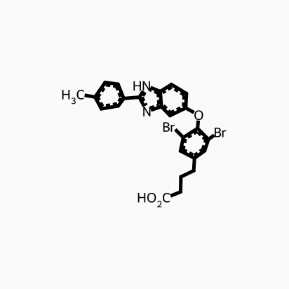 Cc1ccc(-c2nc3cc(Oc4c(Br)cc(CCCC(=O)O)cc4Br)ccc3[nH]2)cc1